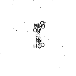 CC(C)(C)OC(=O)Nc1ccn(CCC(F)Cn2cc(C(=O)O)nn2)c(=O)c1F